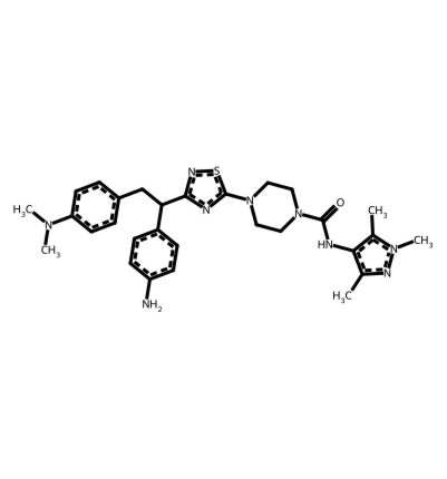 Cc1nn(C)c(C)c1NC(=O)N1CCN(c2nc(C(Cc3ccc(N(C)C)cc3)c3ccc(N)cc3)ns2)CC1